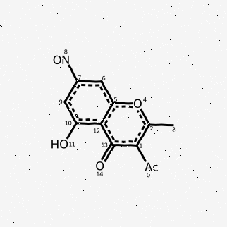 CC(=O)c1c(C)oc2cc(N=O)cc(O)c2c1=O